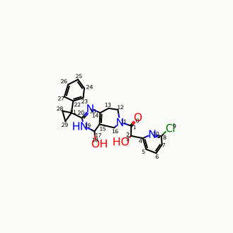 O=C(C(O)c1cccc(Cl)n1)N1CCC2=C(C1)C(O)NC(C1(c3ccccc3)CC1)=N2